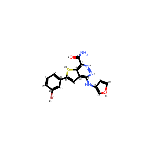 NC(=O)c1nnc(Nc2ccoc2)c2cc(-c3cccc(Br)c3)sc12